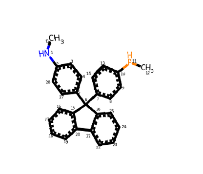 CNc1ccc(C2(c3ccc(PC)cc3)c3ccccc3-c3ccccc32)cc1